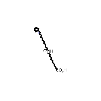 O=C(O)CCCCCCCCCCCNC(=O)CCCCCCCCC/C=C/c1ccccc1